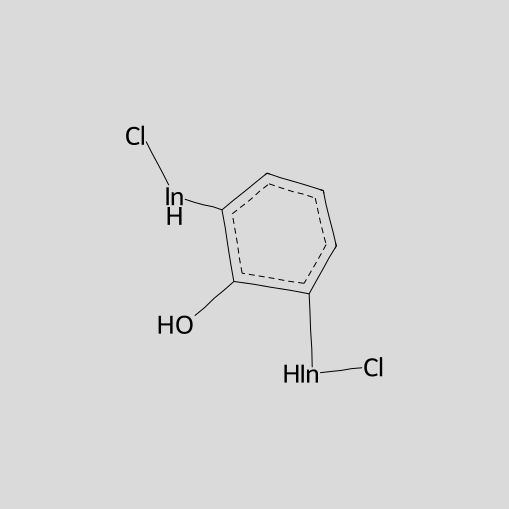 Oc1[c]([InH][Cl])ccc[c]1[InH][Cl]